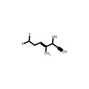 C#CC(O)/C(C)=C/CC(F)F